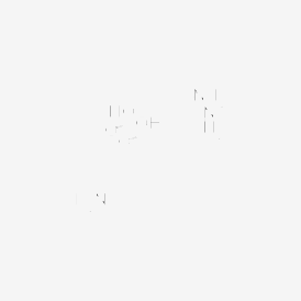 CCCCCCCCCCN.NCCCCCCCCCCN.O=CO.O=CO